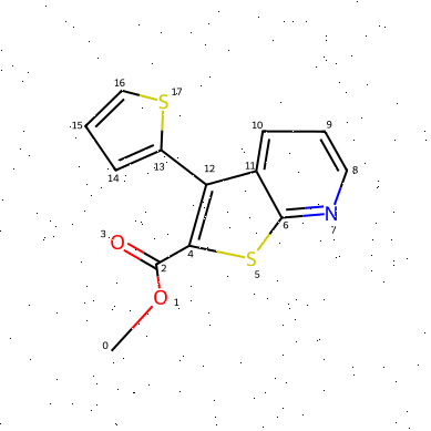 COC(=O)c1sc2ncccc2c1-c1cccs1